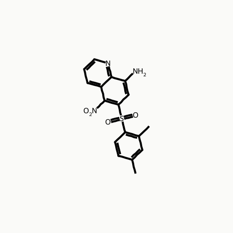 Cc1ccc(S(=O)(=O)c2cc(N)c3ncccc3c2[N+](=O)[O-])c(C)c1